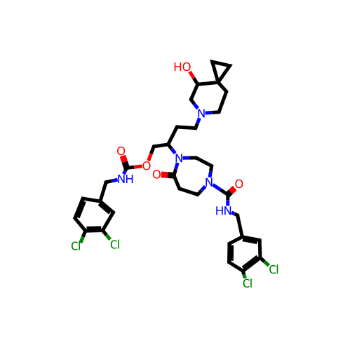 O=C(NCc1ccc(Cl)c(Cl)c1)OCC(CCN1CCC2(CC2)C(O)C1)N1CCN(C(=O)NCc2ccc(Cl)c(Cl)c2)CCC1=O